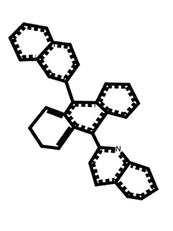 C1=c2c(-c3ccc4ccccc4c3)c3ccccc3c(-c3ccc4ccccc4n3)c2=CCC1